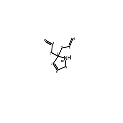 C=CCC1(CC=C)C=CCN1